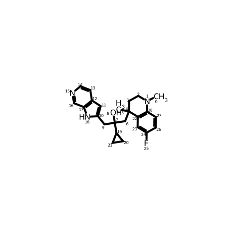 CN1CCC(C)(CC(O)(Cc2cc3ccncc3[nH]2)C2CC2)c2cc(F)ccc21